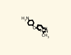 Cc1nnc2ccc(OC3CCC(N)CC3)cn12